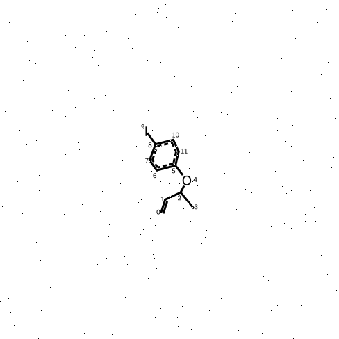 C=CC(C)Oc1ccc(I)cc1